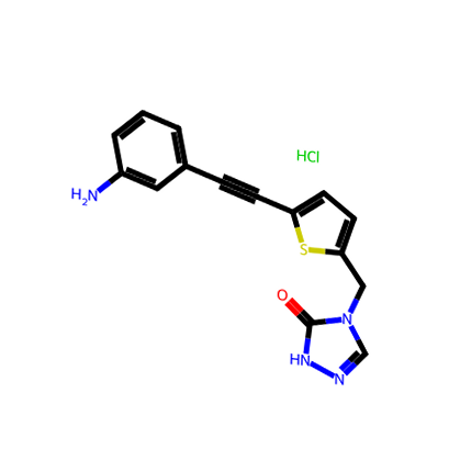 Cl.Nc1cccc(C#Cc2ccc(Cn3cn[nH]c3=O)s2)c1